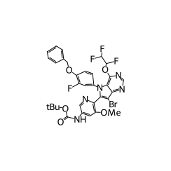 COc1cc(NC(=O)OC(C)(C)C)cnc1-c1c(Br)c2ncnc(OC(F)C(F)F)c2n1-c1ccc(OCc2ccccc2)c(F)c1